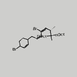 CCCCCCCCC(C)(CCCCCCCC)[C@@H](C)/C=C(Br)\C=C/CC1C=CC(Br)CC1